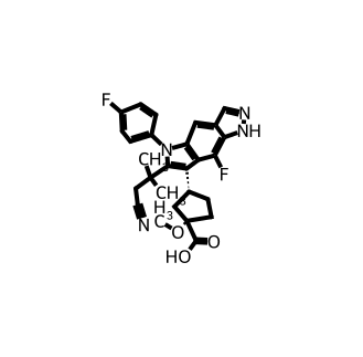 CO[C@@]1(C(=O)O)CC[C@@H](c2c(C(C)(C)CC#N)n(-c3ccc(F)cc3)c3cc4cn[nH]c4c(F)c23)C1